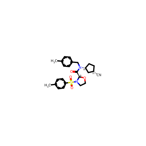 Cc1ccc(CN(C(=O)[C@H]2OCCN2S(=O)(=O)c2ccc(C)cc2)[C@@H]2CC[C@H](C#N)C2)cc1